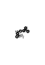 CC1(C)c2cc(NC3=CCC(c4ccc5c(c4)c4ccccc4n5-c4ccccc4)C=C3)ccc2C2=CCCCC21